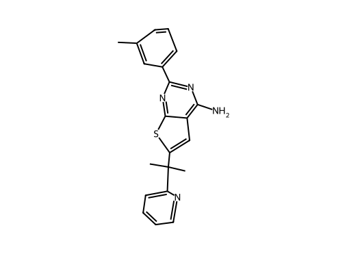 Cc1cccc(-c2nc(N)c3cc(C(C)(C)c4ccccn4)sc3n2)c1